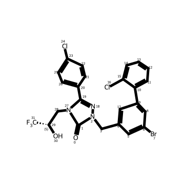 O=c1n(Cc2cc(Br)cc(-c3ccccc3Cl)c2)nc(-c2ccc(Cl)cc2)n1C[C@H](O)C(F)(F)F